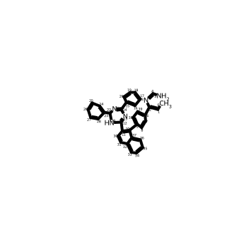 C/C=C(\N=C/N)c1ccc(-c2c(C3=NC(c4ccccc4)=NC(c4ccccc4)N3)ccc3ccccc23)cc1